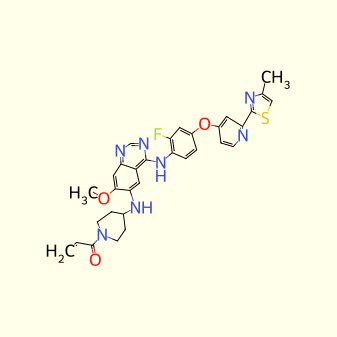 C=CC(=O)N1CCC(Nc2cc3c(Nc4ccc(Oc5ccnc(-c6nc(C)cs6)c5)cc4F)ncnc3cc2OC)CC1